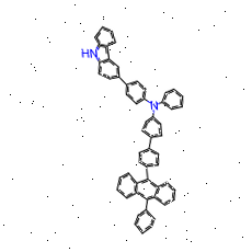 c1ccc(-c2c3ccccc3c(-c3ccc(-c4ccc(N(c5ccccc5)c5ccc(-c6ccc7[nH]c8ccccc8c7c6)cc5)cc4)cc3)c3ccccc23)cc1